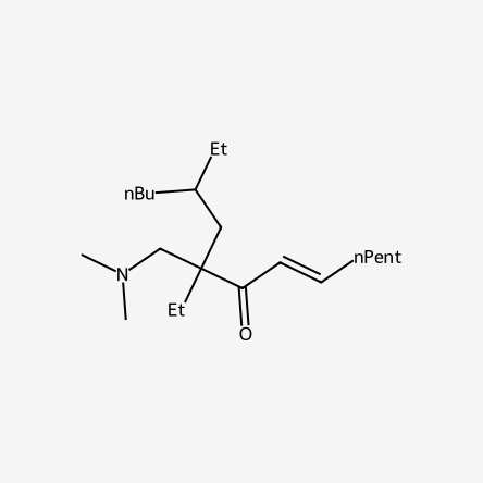 CCCCCC=CC(=O)C(CC)(CC(CC)CCCC)CN(C)C